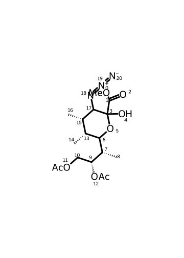 COC(=O)C1(O)OC([C@H](C)[C@@H](COC(C)=O)OC(C)=O)[C@H](C)[C@H](C)C1N=[N+]=[N-]